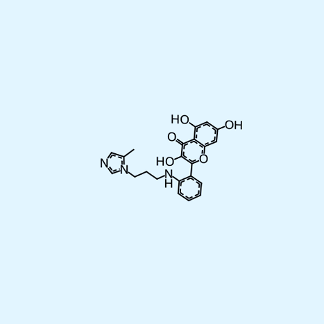 Cc1cncn1CCCNc1ccccc1-c1oc2cc(O)cc(O)c2c(=O)c1O